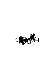 CC(C)c1nc2cc(C#Cc3ccc(OCc4c(-c5c(Cl)cccc5Cl)noc4C4CC4)cc3Cl)cc(C(=O)O)c2o1